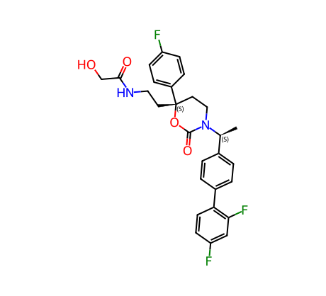 C[C@@H](c1ccc(-c2ccc(F)cc2F)cc1)N1CC[C@@](CCNC(=O)CO)(c2ccc(F)cc2)OC1=O